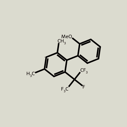 COc1ccccc1-c1c(C)[c]c(C)cc1C(F)(C(F)(F)F)C(F)(F)F